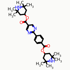 CC1(C)CC(OC(=O)c2ccc(-c3ncc(C(=O)OC4CC(C)(C)NC(C)(C)C4)cn3)cc2)CC(C)(C)N1